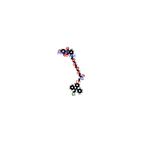 CN(CCOc1ccc(/C(=C(/CCCl)c2ccccc2)c2ccccc2)cc1)C(=O)CCOCCOCCOCCOCCNc1cccc2c1C(=O)N(C1CCC(=O)NC1=O)C2=O